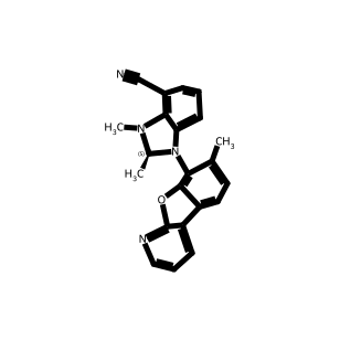 Cc1ccc2c(oc3ncccc32)c1N1c2cccc(C#N)c2N(C)[C@@H]1C